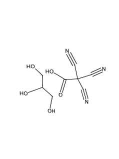 N#CC(C#N)(C#N)C(=O)O.OCC(O)CO